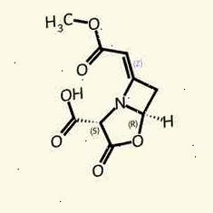 COC(=O)/C=C1/C[C@H]2OC(=O)[C@H](C(=O)O)N12